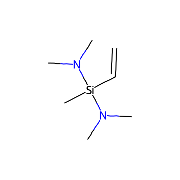 C=C[Si](C)(N(C)C)N(C)C